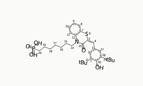 CC(C)(C)c1cc(C=C2Sc3ccccc3N(CCCCCCCP(=O)(O)O)C2=O)cc(C(C)(C)C)c1O